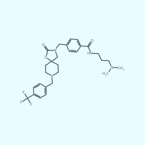 CN(C)CCCNC(=O)c1ccc(CN2CC3(CCN(Cc4ccc(C(F)(F)F)cc4)CC3)OC2=O)cc1